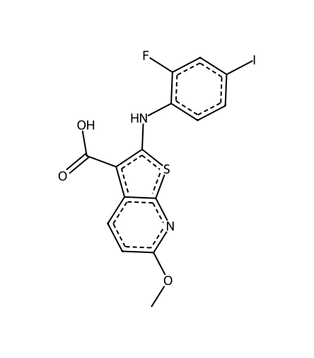 COc1ccc2c(C(=O)O)c(Nc3ccc(I)cc3F)sc2n1